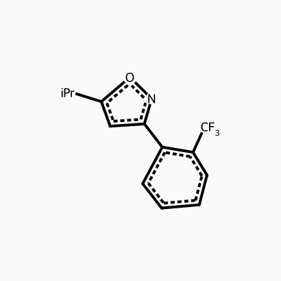 CC(C)c1cc(-c2ccccc2C(F)(F)F)no1